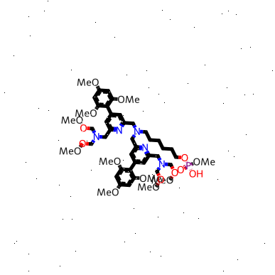 COOCN(COOC)Cc1cc(-c2c(OC)cc(OC)cc2OC)cc(CN(CCCCCCOP(=O)(O)OC)Cc2cc(-c3c(OC)cc(OC)cc3OC)cc(CN(COOC)COOC)n2)n1